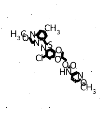 COc1ccc(NC(=O)OCC2COc3c(cc(Cl)c4nc(-c5cc(C)cc6nc(OC)cnc56)sc34)O2)cn1